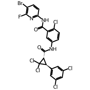 O=C(Nc1ccc(Br)c(F)n1)c1cc(NC(=O)[C@@H]2[C@@H](c3cc(Cl)cc(Cl)c3)C2(Cl)Cl)ccc1Cl